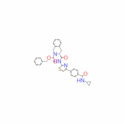 O=C(NC1CC1)c1ccc(-c2csc(NC(=O)[C@@H]3Cc4ccccc4CN3C(=O)OCc3ccccc3)n2)cc1